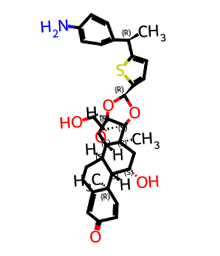 C[C@H](c1ccc(N)cc1)c1ccc([C@@H]2O[C@@H]3C[C@H]4[C@@H]5CCC6=CC(=O)C=C[C@]6(C)[C@H]5[C@@H](O)C[C@]4(C)[C@]3(C(=O)CO)O2)s1